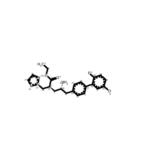 CCOC(=O)[C@@H](C[C@H](N)Cc1ccc(-c2cc(Cl)ccc2F)cc1)Cn1nccn1